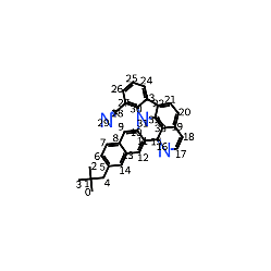 CC(C)(C)Cc1ccc2cc3c(cc2c1)c1nccc2ccc4c5cccc(C#N)c5n3c4c21